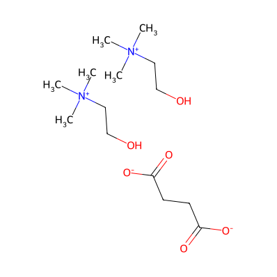 C[N+](C)(C)CCO.C[N+](C)(C)CCO.O=C([O-])CCC(=O)[O-]